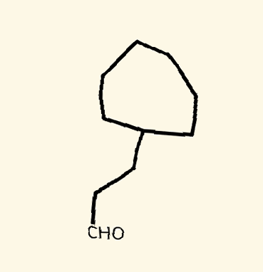 O=CCCC1CCCCCC1